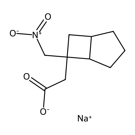 O=C([O-])CC1(C[N+](=O)[O-])CC2CCCC21.[Na+]